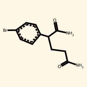 NC(=O)CCC(C(N)=O)c1ccc(Br)cc1